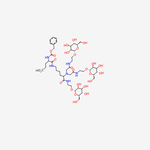 O=C(O)CCC(NC(=O)OCc1ccccc1)C(=O)NCCCCC(C(=O)NCCO[C@H]1O[C@H](CO)[C@@H](O)[C@H](O)[C@@H]1O)N(CC(=O)NCCO[C@H]1O[C@H](CO)[C@@H](O)[C@H](O)[C@@H]1O)CC(=O)NCCO[C@H]1O[C@H](CO)[C@@H](O)[C@H](O)[C@@H]1O